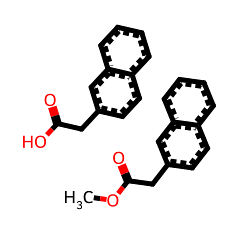 COC(=O)Cc1ccc2ccccc2c1.O=C(O)Cc1ccc2ccccc2c1